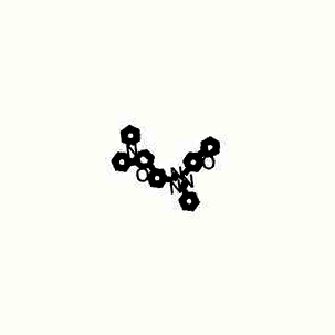 C1=CC2c3cc(-c4nc(-c5ccccc5)nc(-c5ccc6c(c5)oc5ccccc56)n4)ccc3OC2c2c1n(-c1ccccc1)c1ccccc21